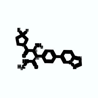 CNC(=O)[C@@H](c1ccc(-c2ccc3ncnn3c2)cc1)[C@H](N)C(=O)N1CCC(F)(F)C1